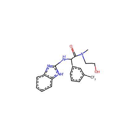 CN(CCO)C(=O)C(Nc1nc2ccccc2[nH]1)c1cccc(C(F)(F)F)c1